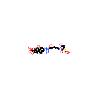 C[C@@H]1C[C@H]2[C@@H]3CCC4=CC(=NNC(=O)CCCCCN5C(=O)CC(SCO)C5=O)C=C[C@]4(C)[C@@]3(F)[C@@H](O)C[C@]2(C)[C@@]1(O)C(=O)CO